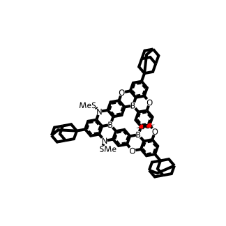 CSN1c2cc3c(cc2B2c4cc5c(cc4N(SC)c4cc(C67CC8CC(CC(C8)C6)C7)cc1c42)Oc1cc(C24CC6CC(CC(C6)C2)C4)cc2c1B5c1ccccc1O2)B1c2ccccc2Oc2cc(C45CC6CC(CC(C6)C4)C5)cc(c21)O3